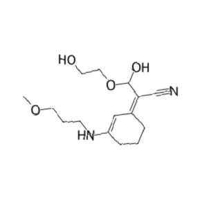 COCCCNC1=C/C(=C(/C#N)C(O)OCCO)CCC1